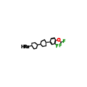 Fc1cc(C2CCC(C3CC[CH]([RaH])CC3)CC2)ccc1OC(F)F